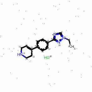 CCn1cnc(-c2ccc(C3=CCNCC3)cc2)n1.Cl